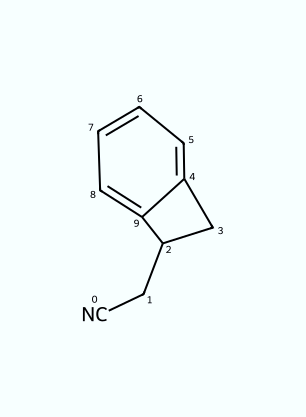 N#CCC1Cc2ccccc21